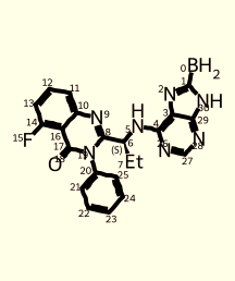 Bc1nc2c(N[C@@H](CC)c3nc4cccc(F)c4c(=O)n3-c3ccccc3)ncnc2[nH]1